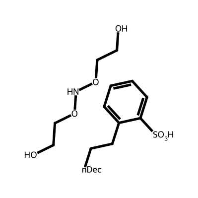 CCCCCCCCCCCCc1ccccc1S(=O)(=O)O.OCCONOCCO